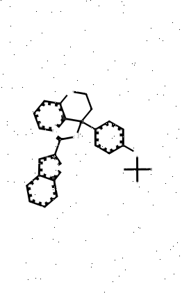 O=C(NC1(c2ccc(OC(F)(F)F)cc2)CCOc2cccnc21)c1cc2ccccc2o1